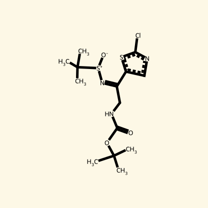 CC(C)(C)OC(=O)NC/C(=N/[S+]([O-])C(C)(C)C)c1cnc(Cl)s1